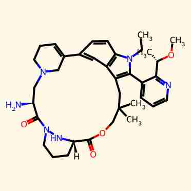 CCn1c(-c2cccnc2[C@H](C)OC)c2c3cc(ccc31)C1=CCCN(C1)C[C@H](N)C(=O)N1CCC[C@H](N1)C(=O)OCC(C)(C)C2